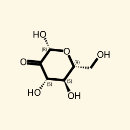 O=C1[C@H](O)O[C@H](CO)[C@@H](O)[C@@H]1O